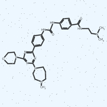 CN(C)CCNC(=O)c1ccc(NC(=O)Nc2ccc(-c3nc(N4CCOCC4)nc(N4CCCN(C)CC4)n3)cc2)cc1